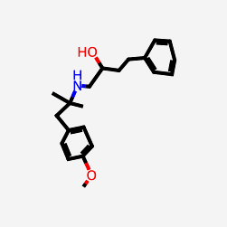 COc1ccc(CC(C)(C)NCC(O)CCc2ccccc2)cc1